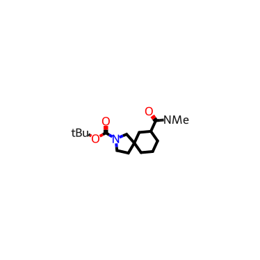 CNC(=O)C1CCCC2(CCN(C(=O)OC(C)(C)C)C2)C1